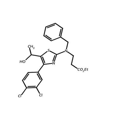 CCOC(=O)CCN(Cc1ccccc1)c1nc(-c2ccc(Cl)c(Cl)c2)c(C(C)O)s1